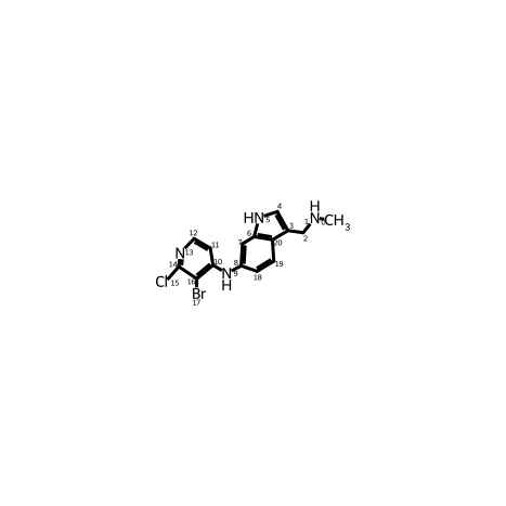 CNCc1c[nH]c2cc(Nc3ccnc(Cl)c3Br)ccc12